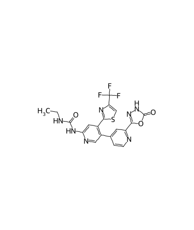 CCNC(=O)Nc1cc(-c2nc(C(F)(F)F)cs2)c(-c2ccnc(-c3n[nH]c(=O)o3)c2)cn1